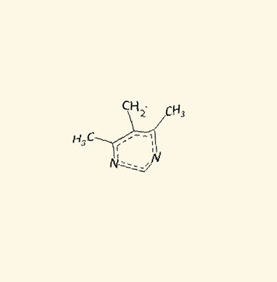 [CH2]c1c(C)ncnc1C